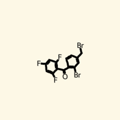 O=C(c1ccc(CBr)cc1Br)c1c(F)cc(F)cc1F